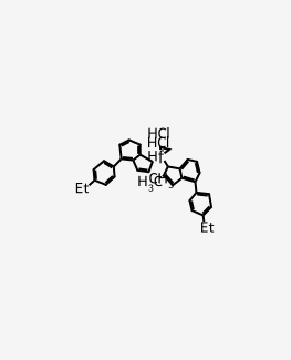 CCc1ccc(-c2cccc3c2C=C(C)[CH]3[Hf]2([CH]3C(C)=Cc4c(-c5ccc(CC)cc5)cccc43)[CH2][CH2]2)cc1.Cl.Cl